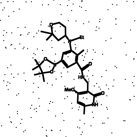 CCN(c1cc(B2OC(C)(C)C(C)(C)O2)cc(C(=O)NCc2c(OC)cc(C)[nH]c2=O)c1C)C1CCOC(C)(C)C1